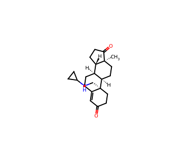 C[C@]12CC[C@@H]3[C@@H](CCC4=CC(=O)CC[C@@]43CNC3CC3)[C@@H]1CCC2=O